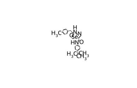 Cc1ccc(CC(=O)Nc2ncc(C(=O)Nc3ccc(C(C)(C)C)cc3)[se]2)cc1